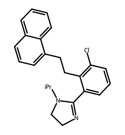 CC(C)N1CCN=C1c1cccc(Cl)c1CCc1cccc2ccccc12